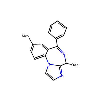 CSc1ccc2c(c1)C(c1ccccc1)=NC(OC(C)=O)c1nccn1-2